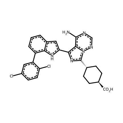 Nc1ncnn2c1c(-c1cc3cccc(-c4cc(Cl)ccc4Cl)c3[nH]1)nc2[C@H]1CC[C@H](C(=O)O)CC1